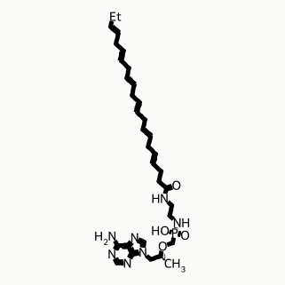 CCC=CCC=CCC=CCC=CCC=CCC=CCCC(=O)NCCNP(=O)(O)CO[C@H](C)Cn1cnc2c(N)ncnc21